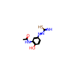 CC(=O)Nc1cc(/N=N/C(=N)S)ccc1O